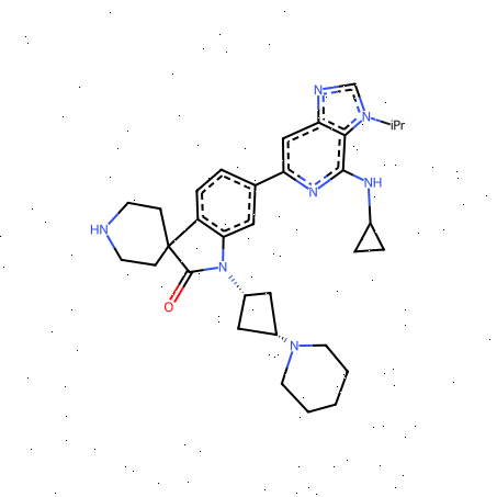 CC(C)n1cnc2cc(-c3ccc4c(c3)N([C@H]3C[C@@H](N5CCCCC5)C3)C(=O)C43CCNCC3)nc(NC3CC3)c21